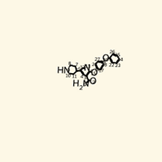 NC(=O)c1cc(C2CCNCC2)cnc1Oc1ccc(Oc2ccccc2)cc1